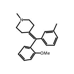 COc1ccccc1C(=C1CCN(C)CC1)c1cccc(C)c1